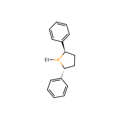 CCP1[C@@H](c2ccccc2)CC[C@@H]1c1ccccc1